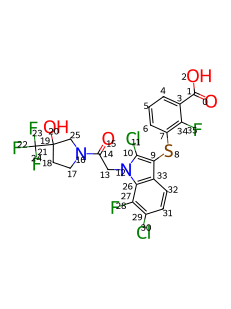 O=C(O)c1cccc(Sc2c(Cl)n(CC(=O)N3CCC(O)(C(F)(F)F)C3)c3c(F)c(Cl)ccc23)c1F